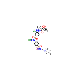 CN(C)CCNS(=O)(=O)c1ccc(NS(=O)(=O)c2ccc(NC(=O)[C@@](C)(O)C(F)(F)F)c(Cl)c2)cc1.Cl